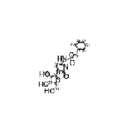 O=C(Nc1ccn([C@@H]2O[C@H](CO)C(O)C2O)c(=O)n1)OCc1ccccc1